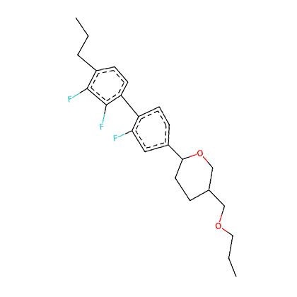 CCCOCC1CCC(c2ccc(-c3ccc(CCC)c(F)c3F)c(F)c2)OC1